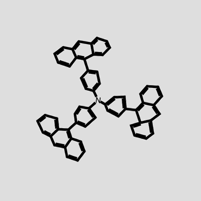 c1ccc2c(-c3ccc(N(c4ccc(-c5c6ccccc6cc6ccccc56)cc4)c4ccc(-c5c6ccccc6cc6ccccc56)cc4)cc3)c3ccccc3cc2c1